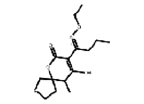 CCC/C(=N\OCC)C1=C(O)C(C)C2(CCSC2)OC1=O